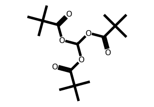 CC(C)(C)C(=O)O[C](OC(=O)C(C)(C)C)OC(=O)C(C)(C)C